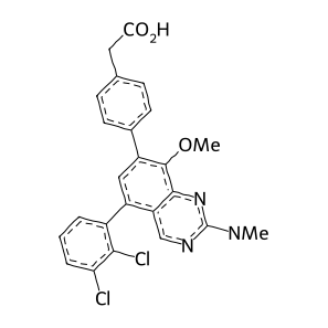 CNc1ncc2c(-c3cccc(Cl)c3Cl)cc(-c3ccc(CC(=O)O)cc3)c(OC)c2n1